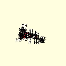 CCO[Si](CCCNC(=O)NCCCC[C@H](NC(=O)CNC(=O)[C@@H]1CC(O)CN1C(=O)[C@@H]1CCCN1C(=O)CNC(=O)[C@@H]1CC(O)CN1C(=O)[C@@H]1CCCN1C(=O)CNC(=O)[C@@H]1CC(O)CN1C(=O)[C@@H]1CCCN1C(=O)[C@H](CCCCNC(=O)NCCC[Si](OCC)(OCC)OCI)NC(C)=O)C(N)=O)(OCC)OCC